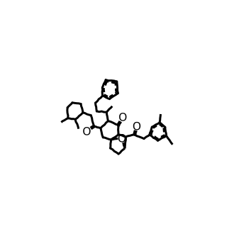 Cc1cc(C)cc(CC(=O)C2C3CCC4(CC(C(=O)CC5CCCC(C)C5C)C(C(C)CCc5ccccc5)C(=O)C24)O3)c1